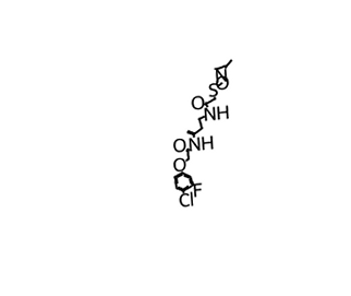 C=C(CCNC(=O)CSON1CC1C)NC(=O)COc1ccc(Cl)c(F)c1